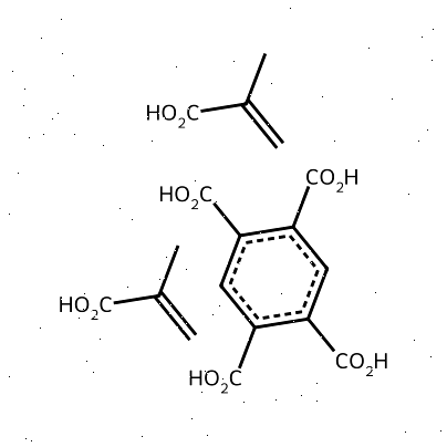 C=C(C)C(=O)O.C=C(C)C(=O)O.O=C(O)c1cc(C(=O)O)c(C(=O)O)cc1C(=O)O